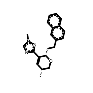 C[C@@H]1C=C(c2ncn(C)n2)[C@H](CCc2ccc3ccccc3c2)OC1